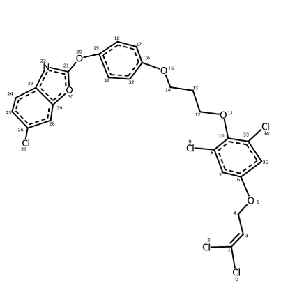 ClC(Cl)=CCOc1cc(Cl)c(OCCCOc2ccc(Oc3nc4ccc(Cl)cc4o3)cc2)c(Cl)c1